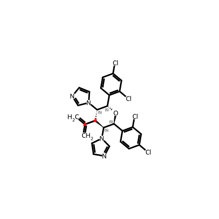 C=CC[C@@H]([C@@H](O[C@@H](c1ccc(Cl)cc1Cl)[C@H](CC=C)n1ccnc1)c1ccc(Cl)cc1Cl)n1ccnc1